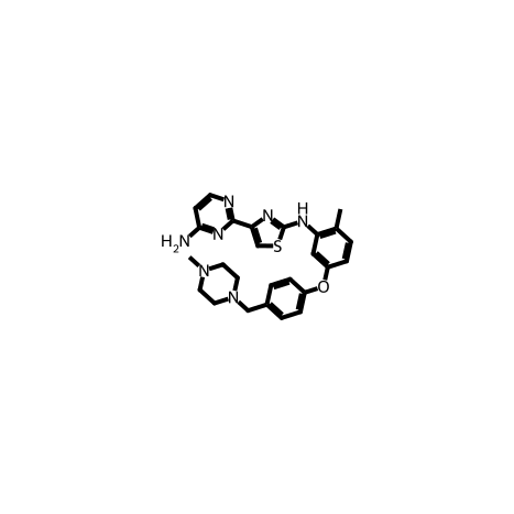 Cc1ccc(Oc2ccc(CN3CCN(C)CC3)cc2)cc1Nc1nc(-c2nccc(N)n2)cs1